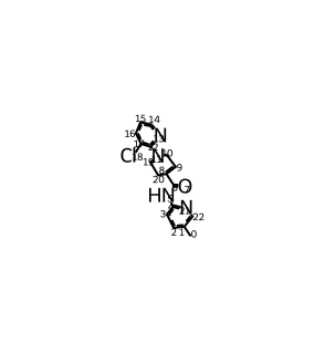 Cc1ccc(NC(=O)C2=CCN(c3ncccc3Cl)CC2)nc1